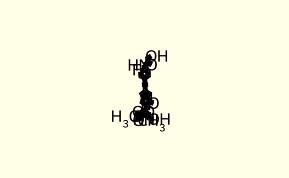 C[C@@](CCN1Cc2cc(C#Cc3ccc(NC(=O)CO)c(F)c3)cn2C1=O)(C(=O)NO)S(C)(=O)=O